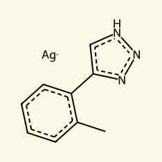 Cc1ccccc1-c1c[nH]nn1.[Ag]